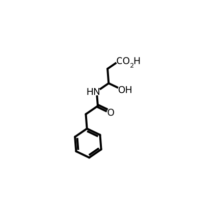 O=C(O)CC(O)NC(=O)Cc1ccccc1